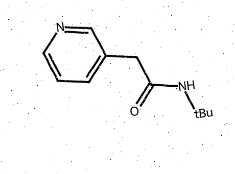 CC(C)(C)NC(=O)Cc1cccnc1